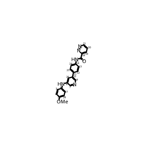 COc1ccc(Nc2cncc(-c3ccc(NC(=O)c4cccnn4)cc3)c2)cc1